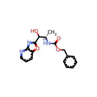 C[C@H](NC(=O)OCc1ccccc1)C(O)c1nc2ncccc2o1